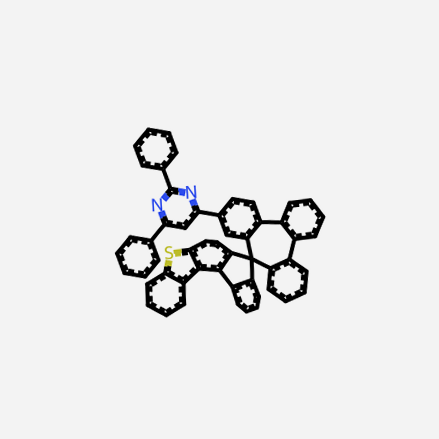 c1ccc(-c2cc(-c3ccc4c(c3)C3(c5ccccc5-c5ccccc5-4)c4ccccc4-c4c3ccc3sc5ccccc5c43)nc(-c3ccccc3)n2)cc1